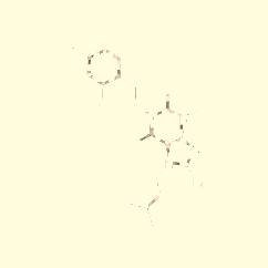 CC(C)=CCn1c(Br)nc2c1c(=O)n(CCc1ccc(Cl)cc1Cl)c(=O)n2C